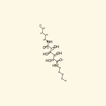 CCCCCNC(=O)C(O)C(O)C(O)C(O)C(=O)NCCCCC